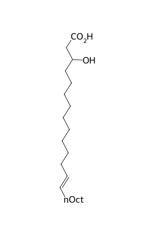 CCCCCCCCC=CCCCCCCCCCC(O)CC(=O)O